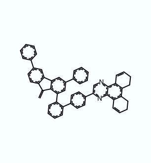 C=C1c2ccc(-c3ccccc3)cc2-c2cc(-c3ccccc3)cc(-c3ccccc3-c3ccc(-c4cnc5c6c(c7c(c5n4)C=CCC7)CCC=C6)cc3)c21